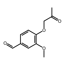 COc1cc(C=O)ccc1OCC(C)=O